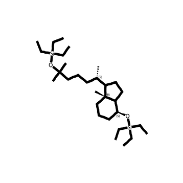 CC[Si](CC)(CC)O[C@H]1CCC[C@@]2(C)C1CCC2[C@@H](C)CCCC(C)(C)O[Si](CC)(CC)CC